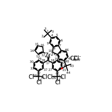 CC(C)(C)c1ccc2c(c1)[CH]([Zr+2]([C]1=CC=CC1)=[C](c1cccc(C(Cl)(Cl)Cl)c1)c1cccc(C(Cl)(Cl)Cl)c1)c1cc(C(C)(C)C)ccc1-2.[Cl-].[Cl-]